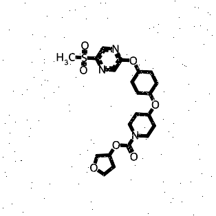 CS(=O)(=O)c1cnc(OC2CCC(OC3CCN(C(=O)OC4CCOC4)CC3)CC2)cn1